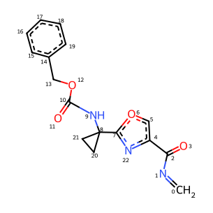 C=NC(=O)c1coc(C2(NC(=O)OCc3ccccc3)CC2)n1